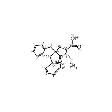 CCN1C(=O)C(Cc2ccccc2)(Cc2ccccc2)CC1C(=O)O